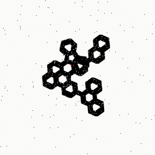 c1ccc(-c2ccc(-c3cc4ccccc4c4ccccc34)cc2N(c2ccc(-c3ccc4ccccc4c3)cc2)c2ccccc2-n2c3ccccc3c3ccccc32)cc1